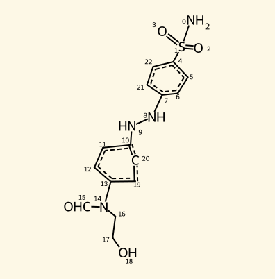 NS(=O)(=O)c1ccc(NNc2ccc(N(C=O)CCO)cc2)cc1